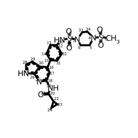 CS(=O)(=O)N1CCN(S(=O)(=O)Nc2ccc(-c3cc(NC(=O)C4CC4)nc4[nH]ccc34)cc2)CC1